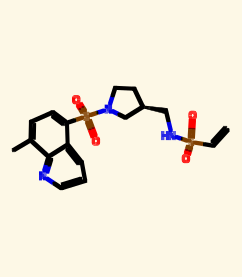 C=CS(=O)(=O)NC[C@@H]1CCN(S(=O)(=O)c2ccc(C)c3ncccc23)C1